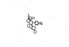 CCCC1(O)CCC2C3OCC4=CC(=O)CCC4=C3C(c3ccc(N(C)C)cc3)CC21C